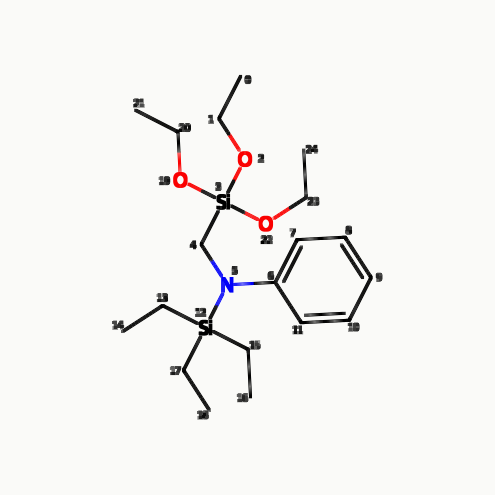 CCO[Si](CN(c1ccccc1)[Si](CC)(CC)CC)(OCC)OCC